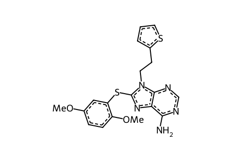 COc1ccc(OC)c(Sc2nc3c(N)ncnc3n2CCc2cccs2)c1